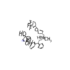 CC(Cc1ccc(OCc2cccc(C(F)(F)F)c2)cc1)NCCC(c1ccccc1)c1ccccc1.O=C(O)/C=C\C(=O)O